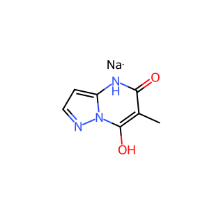 Cc1c(O)n2nccc2[nH]c1=O.[Na]